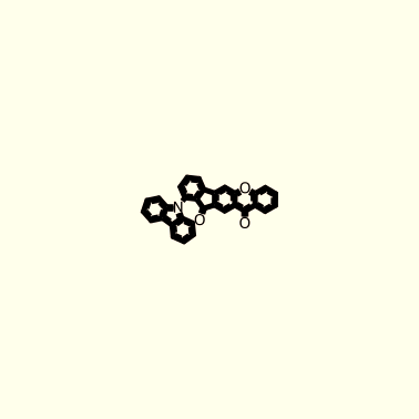 O=C1c2cc3c(=O)c4ccccc4oc3cc2-c2cccc(-n3c4ccccc4c4ccccc43)c21